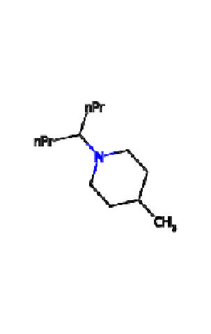 CCCC(CCC)N1CCC(C)CC1